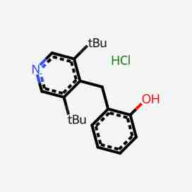 CC(C)(C)c1cncc(C(C)(C)C)c1Cc1ccccc1O.Cl